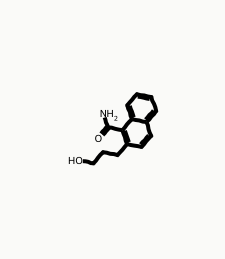 NC(=O)c1c(CCCO)ccc2ccccc12